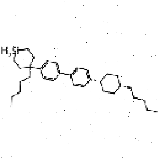 CCCCCC1(c2ccc(-c3ccc([C@H]4CC[C@H](CCCCC)CC4)cc3)cc2)CC[SiH2]CC1